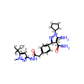 Cn1nc(NC(=O)Cc2ccc(-c3nn(C4CCCC4)c(N)c3C(N)=O)cc2)cc1C(C)(C)C(F)(F)F